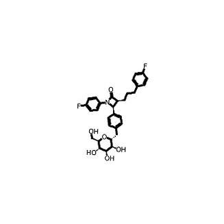 O=C1[C@@H](CCCc2ccc(F)cc2)[C@@H](c2ccc(C[C@H]3O[C@H](CO)[C@@H](O)[C@H](O)[C@@H]3O)cc2)N1c1ccc(F)cc1